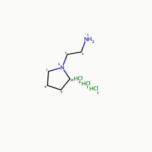 Cl.Cl.Cl.NCCN1CCCC1